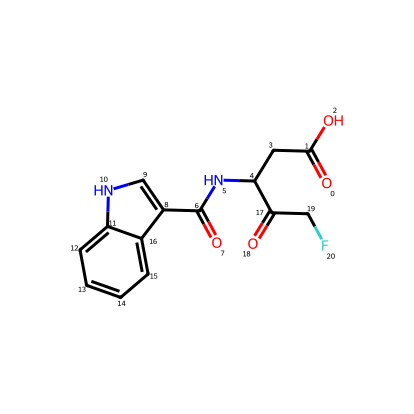 O=C(O)CC(NC(=O)c1c[nH]c2ccccc12)C(=O)CF